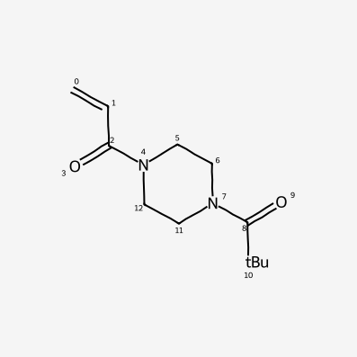 C=CC(=O)N1CCN(C(=O)C(C)(C)C)CC1